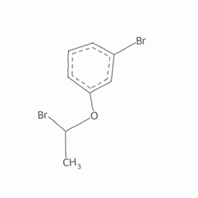 CC(Br)Oc1cccc(Br)c1